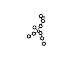 c1ccc(-c2ccc(-c3ccc4c(c3)c(-c3ccc(-c5ccccc5)cc3)c(-c3ccccc3)n4-c3ccc(-c4ccc5sc6ccccc6c5c4)cc3)cc2)cc1